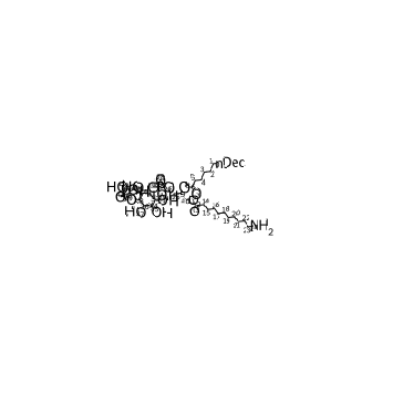 CCCCCCCCCCCCCCCC(=O)O[C@H](COC(=O)CCCCCCCCCCN)COP(=O)(O)OC1C(O)[C@@H](O)C(O)[C@@H](OP(=O)(O)O)[C@H]1O